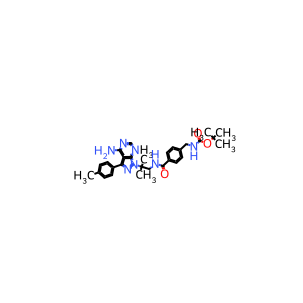 Cc1ccc(-c2nn(C(C)(C)CNC(=O)c3ccc(CNC(=O)OC(C)(C)C)cc3)c3ncnc(N)c23)cc1